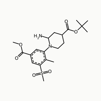 COC(=O)c1cc(N2CCC(C(=O)OC(C)(C)C)CC2N)c(C)c(S(C)(=O)=O)c1